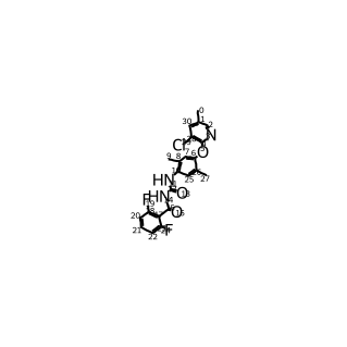 Cc1cnc(Oc2cc(C)c(NC(=O)NC(=O)c3c(F)cccc3F)cc2C)c(Cl)c1